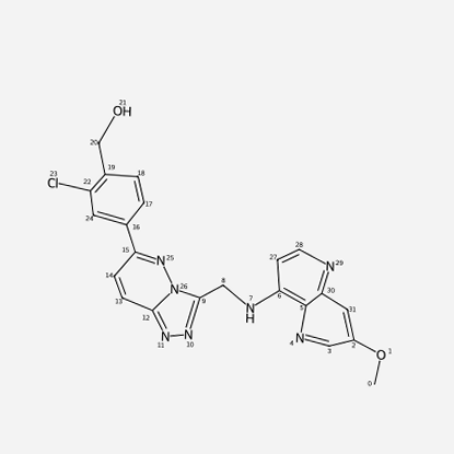 COc1cnc2c(NCc3nnc4ccc(-c5ccc(CO)c(Cl)c5)nn34)ccnc2c1